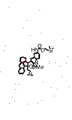 COc1nc2ccc(NC(=O)OCC[Si](C)(C)C)cc2cc1C(c1ccccc1)C(O)(CCN(C)C)c1cccc2ccccc12